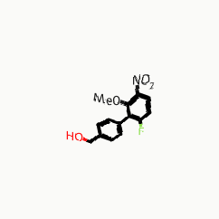 COc1c([N+](=O)[O-])ccc(F)c1-c1ccc(CO)cc1